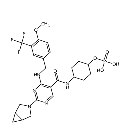 COc1ccc(CNc2nc(N3CC4CC4C3)ncc2C(=O)NC2CCC(OP(=O)(O)O)CC2)cc1C(F)(F)F